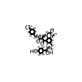 CN(Cc1cc2c3c(c1)c(=O)c(C(=O)NCc1ccc(Cl)cc1)cn3CC(=O)N2C)C[C@H](O)c1ccc(O)cc1